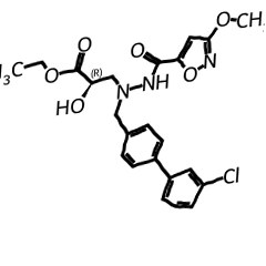 CCOC(=O)[C@H](O)CN(Cc1ccc(-c2cccc(Cl)c2)cc1)NC(=O)c1cc(OC)no1